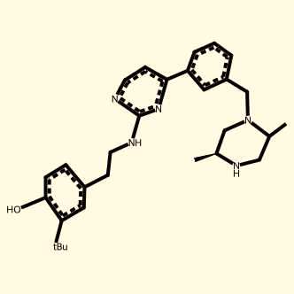 CC1CN[C@@H](C)CN1Cc1cccc(-c2ccnc(NCCc3ccc(O)c(C(C)(C)C)c3)n2)c1